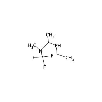 CCPC(C)N(C)C(F)(F)F